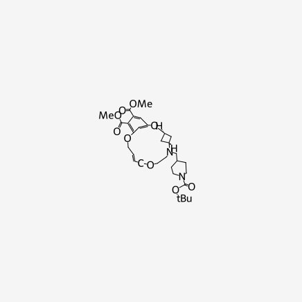 COC(=O)c1cc2cc(c1C(=O)OC)OC/C=C/COCCN(CC1CCN(C(=O)OC(C)(C)C)CC1)[C@H]1C[C@@H](C1)O2